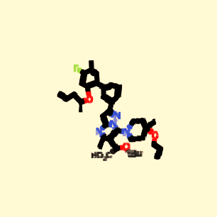 C=CCOC1(C)CCN(c2c(C(OC(C)(C)C)C(=O)O)c(C)nc3cc(-c4cccc(-c5cc(C)c(F)cc5O[C@@H](C)CC=C)c4)nn23)CC1